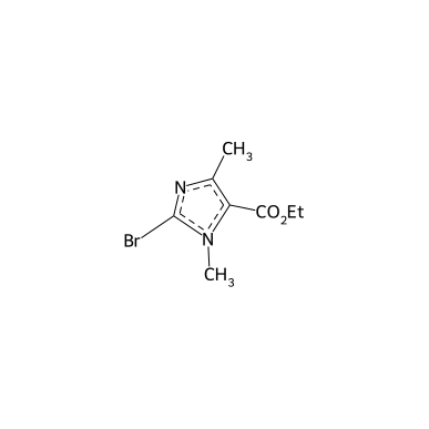 CCOC(=O)c1c(C)nc(Br)n1C